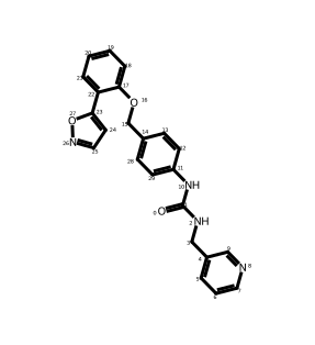 O=C(NCc1cccnc1)Nc1ccc(COc2ccccc2-c2ccno2)cc1